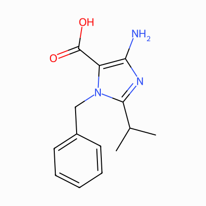 CC(C)c1nc(N)c(C(=O)O)n1Cc1ccccc1